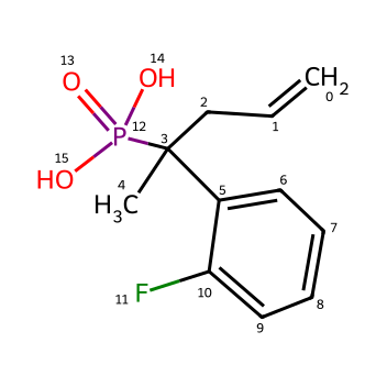 C=CCC(C)(c1ccccc1F)P(=O)(O)O